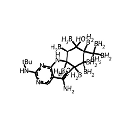 BC1C(B)(O)C(B)(C(B)(B)B)C(B)(B)C(B)(B)C1(B)Nc1nc(NC(C)(C)C)ncc1C(N)=O